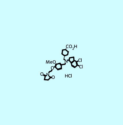 COc1cc(CN(C[C@H]2CC[C@H](C(=O)O)CC2)[C@H]2CCc3c2ccc(Cl)c3Cl)ccc1OCCN1C(=O)CCC1=O.Cl